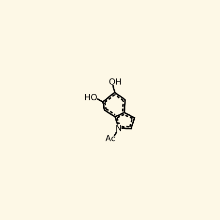 CC(=O)n1ccc2cc(O)c(O)cc21